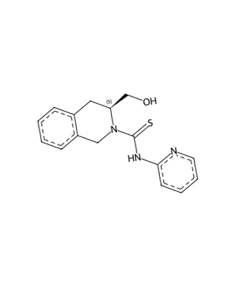 OC[C@@H]1Cc2ccccc2CN1C(=S)Nc1ccccn1